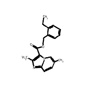 CCc1ccccc1COC(=O)c1c(C)nc2ccc(C)cn12